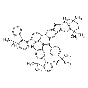 CC(C)(C)c1ccc(N2B3c4cc5c(cc4-n4c6ccc7c(c6c6ccc(c3c64)-c3cc4sc6cc8c(cc6c4cc32)C(C)(C)CCC8(C)C)-c2ccccc2C7(C)C)C(C)(C)c2ccccc2-5)cc1